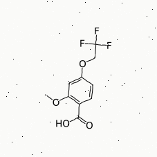 COc1cc(OCC(F)(F)F)ccc1C(=O)O